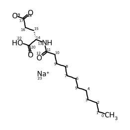 CCCCCCCCCCCC(=O)N[C@@H](CCC(=O)[O-])C(=O)O.[Na+]